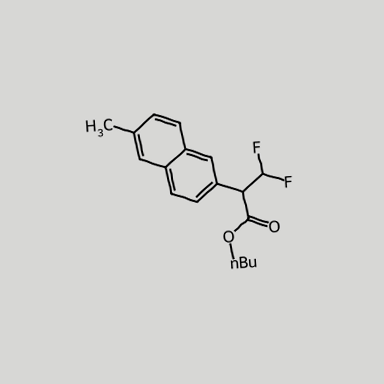 CCCCOC(=O)C(c1ccc2cc(C)ccc2c1)C(F)F